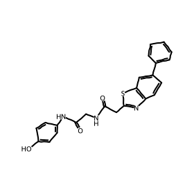 O=C(Cc1nc2ccc(-c3ccccc3)cc2s1)NCC(=O)Nc1ccc(O)cc1